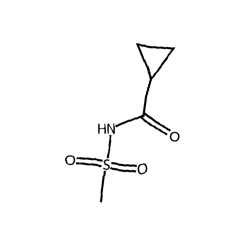 CS(=O)(=O)NC(=O)C1CC1